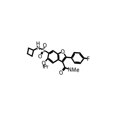 CNC(=O)c1c(-c2ccc(F)cc2)oc2cc(S(=O)(=O)NC3CCC3)c(OC(C)C)cc12